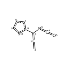 C=C=C(N=C=O)c1cccs1